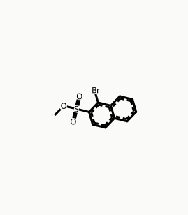 [CH2]OS(=O)(=O)c1ccc2ccccc2c1Br